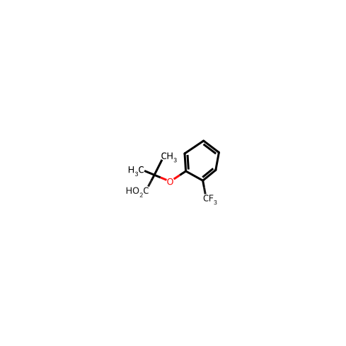 CC(C)(Oc1ccccc1C(F)(F)F)C(=O)O